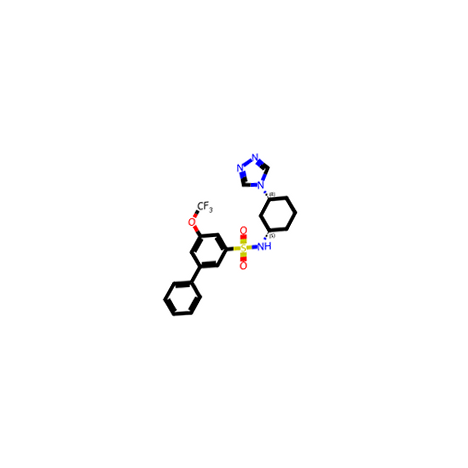 O=S(=O)(N[C@H]1CCC[C@@H](n2cnnc2)C1)c1cc(OC(F)(F)F)cc(-c2ccccc2)c1